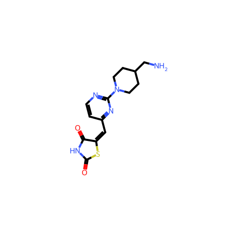 NCC1CCN(c2nccc(C=C3SC(=O)NC3=O)n2)CC1